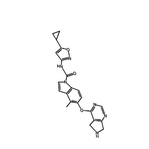 Cc1c(Oc2ncnc3c2CNC3)ccc2c1ccn2C(=O)Nc1cc(C2CC2)on1